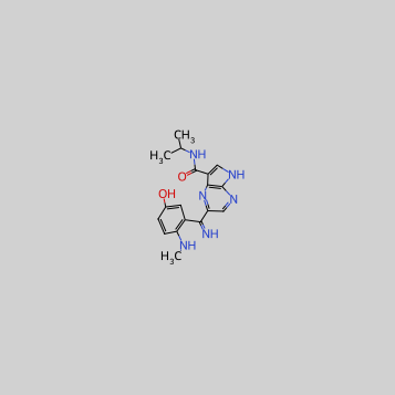 CNc1ccc(O)cc1C(=N)c1cnc2[nH]cc(C(=O)NC(C)C)c2n1